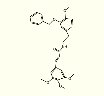 COc1ccc(CCNC(=O)C=Cc2cc(OC)c(OC)c(OC)c2)cc1OCc1ccccc1